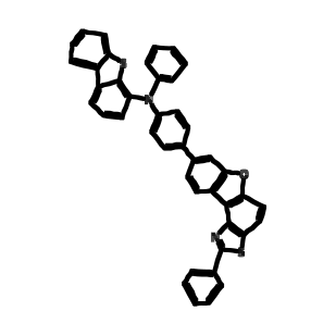 c1ccc(-c2nc3c(ccc4oc5cc(-c6ccc(N(c7ccccc7)c7cccc8c7sc7ccccc78)cc6)ccc5c43)s2)cc1